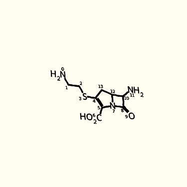 NCCSC1=C(C(=O)O)N2C(=O)C(N)C2C1